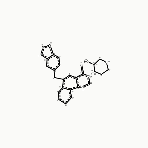 O=c1c2cc(Cc3ccc4snnc4c3)c3ccccc3c2ncn1[C@H]1CCOC[C@@H]1O